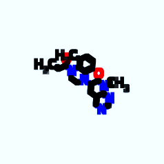 C=CC(=O)N1CCN(c2cc3cncnc3n(C)c2=O)c2cccc(C)c21